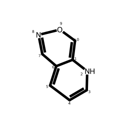 [C]1=C2NC=CC=C2C=NO1